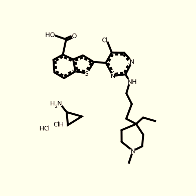 CCC1(CCCNc2ncc(Cl)c(-c3cc4c(C(=O)O)cccc4s3)n2)CCN(C)CC1.Cl.Cl.NC1CC1